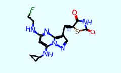 O=C1NC(=O)/C(=C/c2cnn3c(NC4CC4)cc(NCCF)nc23)S1